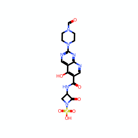 O=CN1CCN(c2ncc3c(O)c(C(=O)NC4CN(S(=O)(=O)O)C4=O)cnc3n2)CC1